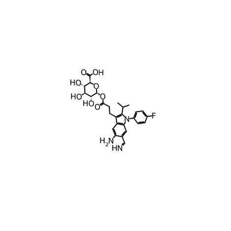 CC(C)c1c(CCC(=O)O[C@@H]2O[C@H](C(=O)O)[C@@H](O)[C@H](O)[C@H]2O)c2cc(N)c(C=N)cc2n1-c1ccc(F)cc1